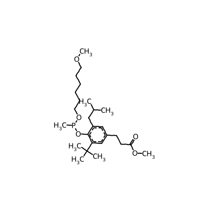 COCCCCCCOP(C)Oc1c(CC(C)C)cc(CCC(=O)OC)cc1C(C)(C)C